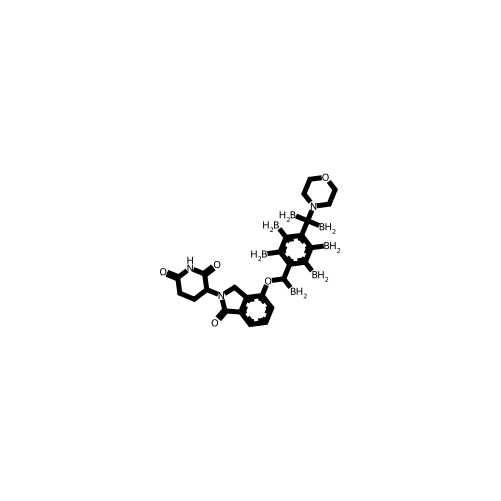 Bc1c(B)c(C(B)(B)N2CCOCC2)c(B)c(B)c1C(B)Oc1cccc2c1CN(C1CCC(=O)NC1=O)C2=O